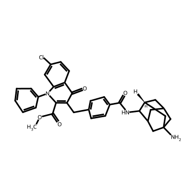 COC(=O)c1c(Cc2ccc(C(=O)NC3C4CC5C[C@@H]3CC(N)(C5)C4)cc2)c(=O)c2ccc(Cl)cc2n1-c1ccccc1